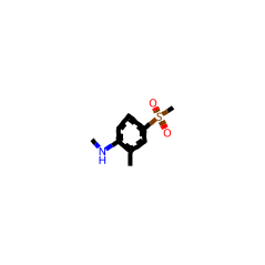 CNc1ccc(S(C)(=O)=O)cc1C